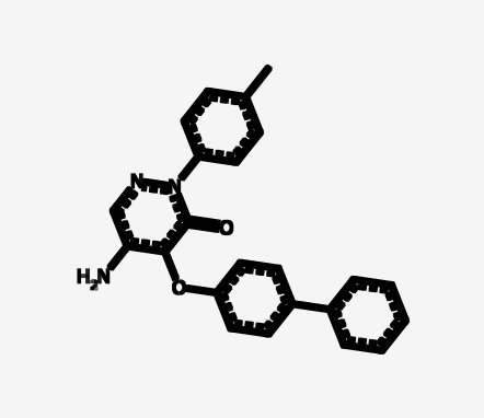 Cc1ccc(-n2ncc(N)c(Oc3ccc(-c4ccccc4)cc3)c2=O)cc1